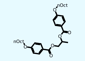 CCCCCCCCOc1ccc(C(=O)OCC(C)OC(=O)c2ccc(OCCCCCCCC)cc2)cc1